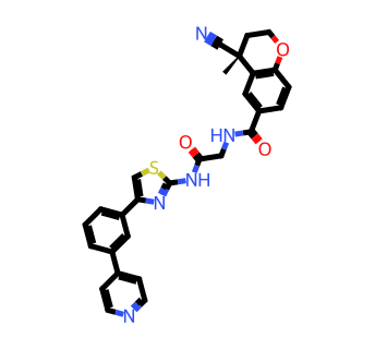 C[C@@]1(C#N)CCOc2ccc(C(=O)NCC(=O)Nc3nc(-c4cccc(-c5ccncc5)c4)cs3)cc21